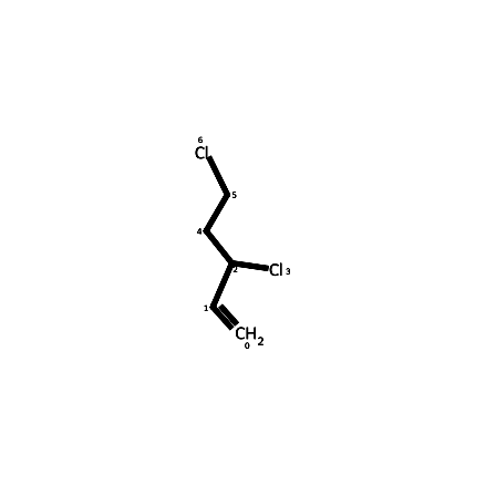 C=CC(Cl)CCCl